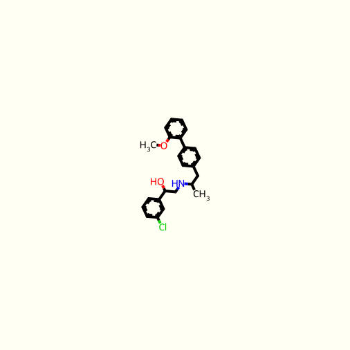 COc1ccccc1-c1ccc(CC(C)NCC(O)c2cccc(Cl)c2)cc1